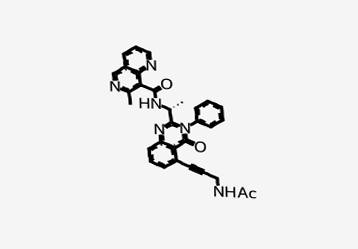 CC(=O)NCC#Cc1cccc2nc([C@@H](C)NC(=O)c3c(C)ncc4cccnc34)n(-c3ccccc3)c(=O)c12